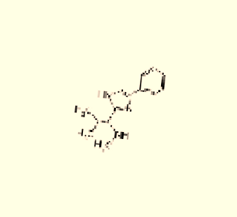 CNC(c1nc(-c2ccccc2)c[nH]1)C(C)C